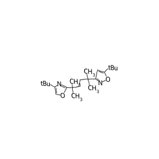 CC(C)(C)c1coc(C(C)(C)CCC(C)(C)c2cc(C(C)(C)C)on2)n1